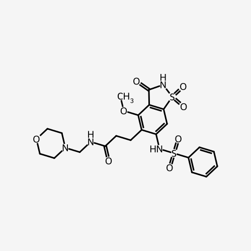 COc1c(CCC(=O)NCN2CCOCC2)c(NS(=O)(=O)c2ccccc2)cc2c1C(=O)NS2(=O)=O